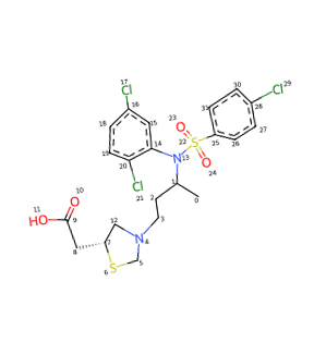 CC(CCN1CS[C@H](CC(=O)O)C1)N(c1cc(Cl)ccc1Cl)S(=O)(=O)c1ccc(Cl)cc1